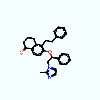 Cc1nccn1CC(Oc1ccc2c(c1CCc1ccccc1)CCCC2=O)c1ccccc1